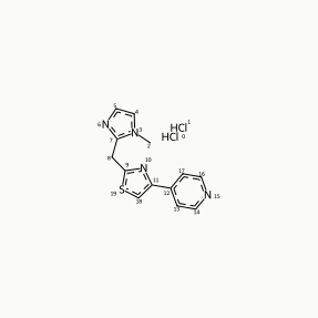 Cl.Cl.Cn1ccnc1Cc1nc(-c2ccncc2)cs1